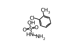 Cc1ccccc1Cl.NNS(=O)(=O)O